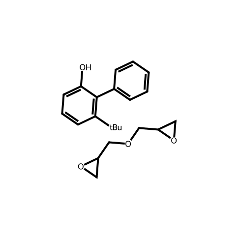 C(OCC1CO1)C1CO1.CC(C)(C)c1cccc(O)c1-c1ccccc1